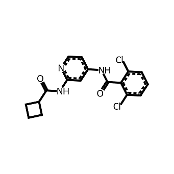 O=C(Nc1ccnc(NC(=O)C2CCC2)c1)c1c(Cl)cccc1Cl